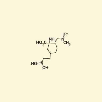 CC(C)N(C)C[C@@H]1CCC(CCB(O)O)C[C@]1(N)C(=O)O